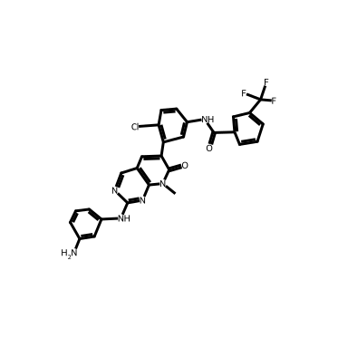 Cn1c(=O)c(-c2cc(NC(=O)c3cccc(C(F)(F)F)c3)ccc2Cl)cc2cnc(Nc3cccc(N)c3)nc21